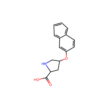 O=C(O)C1CC(Oc2ccc3ccccc3c2)CN1